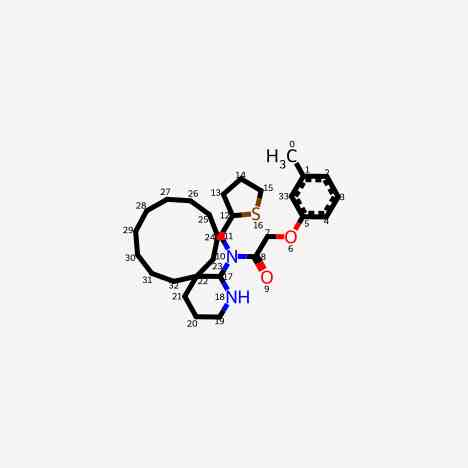 Cc1cccc(OCC(=O)N(CC2CCCS2)C2NCCCC23CCCCCCCCCC3)c1